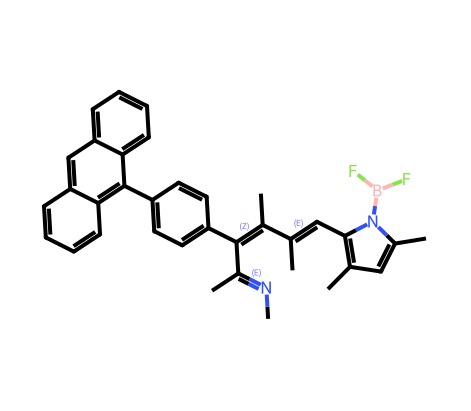 C/N=C(C)/C(=C(C)\C(C)=C\c1c(C)cc(C)n1B(F)F)c1ccc(-c2c3ccccc3cc3ccccc23)cc1